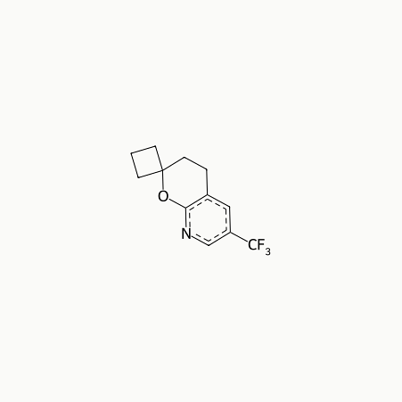 FC(F)(F)c1cnc2c(c1)CCC1(CCC1)O2